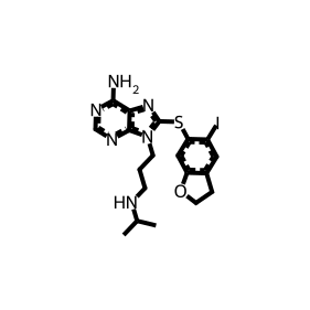 CC(C)NCCCn1c(Sc2cc3c(cc2I)CCO3)nc2c(N)ncnc21